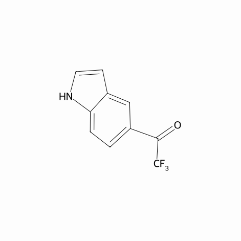 O=C(c1ccc2[nH]ccc2c1)C(F)(F)F